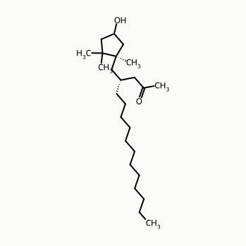 CCCCCCCCCCCC[C@@H](CC(C)=O)C[C@]1(C)CC(O)CC1(C)C